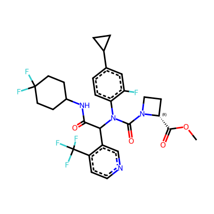 COC(=O)[C@H]1CCN1C(=O)N(c1ccc(C2CC2)cc1F)C(C(=O)NC1CCC(F)(F)CC1)c1cnccc1C(F)(F)F